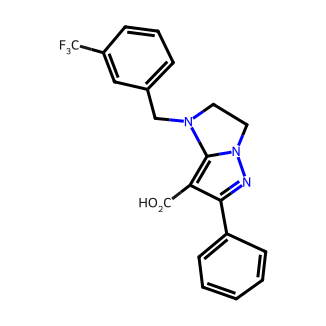 O=C(O)c1c(-c2ccccc2)nn2c1N(Cc1cccc(C(F)(F)F)c1)CC2